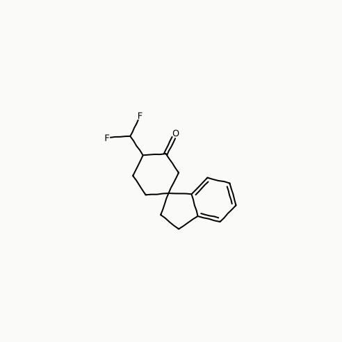 O=C1CC2(CCc3ccccc32)CCC1C(F)F